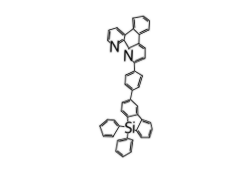 c1ccc([Si]2(c3ccccc3)c3ccccc3-c3cc(-c4ccc(-c5ccc6c7ccccc7c7cccnc7c6n5)cc4)ccc32)cc1